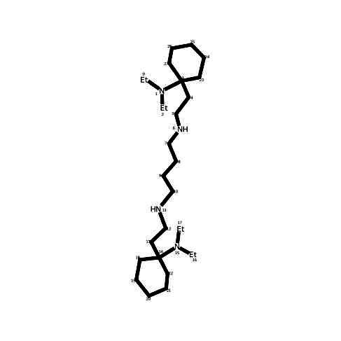 CCN(CC)C1(CCNCCCCNCCC2(N(CC)CC)CCCCC2)CCCCC1